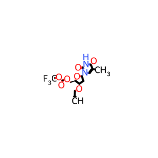 C#CCO[C@H]1C[C@H](n2cc(C)c(=O)[nH]c2=O)O[C@@H]1COC(=O)OC(F)(F)F